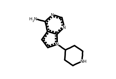 Nc1ncnc2c1ccn2C1CCNCC1